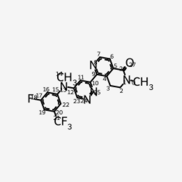 CN1CCc2c(ccnc2-c2cc(N(C)c3cc(F)cc(C(F)(F)F)c3)cnn2)C1=O